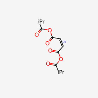 CC(C)C(=O)OC(=O)/C=C\C(=O)OC(=O)C(C)C